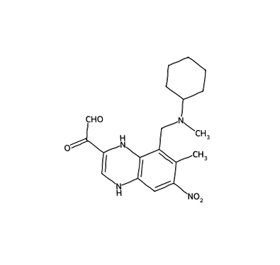 Cc1c([N+](=O)[O-])cc2c(c1CN(C)C1CCCCC1)NC(C(=O)C=O)=CN2